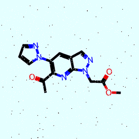 COC(=O)Cn1ncc2cc(-n3cccn3)c(C(C)=O)nc21